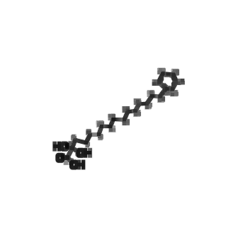 O=C(O)C(O)(O)CCCCCCCCCCCCCCc1ccccc1